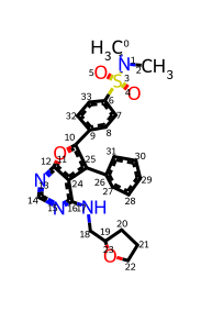 CN(C)S(=O)(=O)c1ccc(-c2oc3ncnc(NCC4CCCO4)c3c2-c2ccccc2)cc1